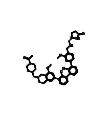 COc1cc(-c2cccc(-c3cccc(-c4ccc(CNC[C@@H]5CCC(=O)N5)c(OC)n4)c3Cl)c2Cl)cc2c1CN(CC1CCN(C(C)=O)CC1)CC2